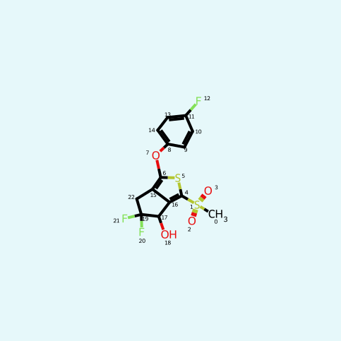 CS(=O)(=O)c1sc(Oc2ccc(F)cc2)c2c1C(O)C(F)(F)C2